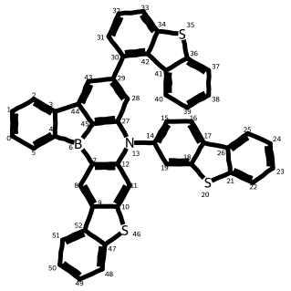 c1ccc2c(c1)B1c3cc4c(cc3N(c3ccc5c(c3)sc3ccccc35)c3cc(-c5cccc6sc7ccccc7c56)cc-2c31)sc1ccccc14